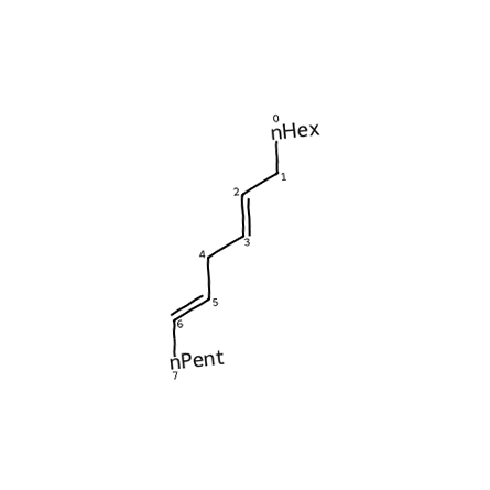 CCC[CH]CCCC=CCC=CCCCCC